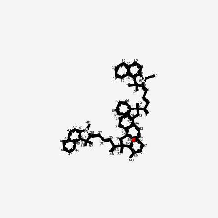 C=C(/C=C/C=C1/N(C)c2ccc3ccccc3c2C1(C)C)C(C)(Cc1cccc2c(CC(C)(C(=C)/C=C/C=C3/N(C)c4ccc5ccccc5c4C3(C)C)c3ccccc3C)cccc12)c1ccccc1C